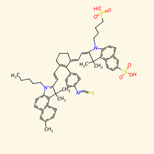 CCCCC[N+]1=C(/C=C/C2=C(c3ccc(N=C=S)cc3)C(=C/C=C3/N(CCCCS(=O)(=O)O)c4ccc5cc(S(=O)(=O)O)ccc5c4C3(C)C)/CCC2)C(C)(C)c2c1ccc1cc(C)ccc21